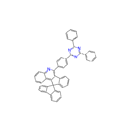 c1ccc(-c2nc(-c3ccccc3)nc(-c3ccc(-c4nc5ccccc5c5c4-c4ccccc4C54c5ccccc5-c5ccccc54)cc3)n2)cc1